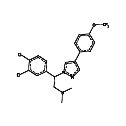 CN(C)CC(c1ccc(Cl)c(Cl)c1)n1cc(-c2ccc(OC(F)(F)F)cc2)cn1